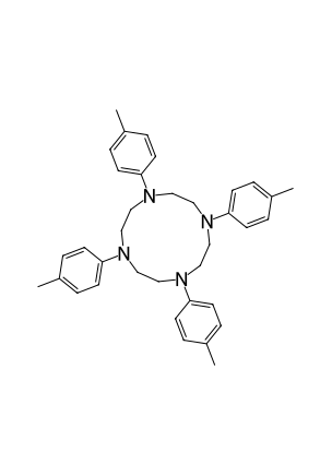 Cc1ccc(N2CCN(c3ccc(C)cc3)CCN(c3ccc(C)cc3)CCN(c3ccc(C)cc3)CC2)cc1